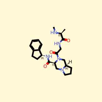 CN[C@@H](C)C(=O)NCC(=O)N1C[C@H]2CCCN2C[C@H]1C(=O)N[C@@H]1CCc2ccccc21